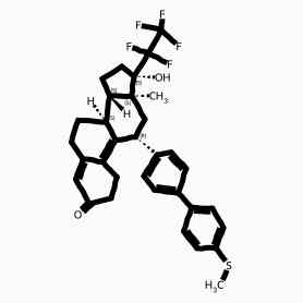 CSc1ccc(-c2ccc([C@H]3C[C@@]4(C)[C@@H](CC[C@@]4(O)C(F)(F)C(F)(F)F)[C@@H]4CCC5=CC(=O)CCC5=C43)cc2)cc1